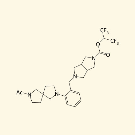 CC(=O)N1CCC2(CCN(c3ccccc3CN3CC4CN(C(=O)OC(C(F)(F)F)C(F)(F)F)CC4C3)C2)C1